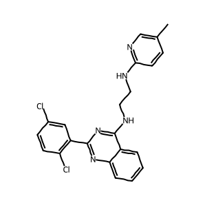 Cc1ccc(NCCNc2nc(-c3cc(Cl)ccc3Cl)nc3ccccc23)nc1